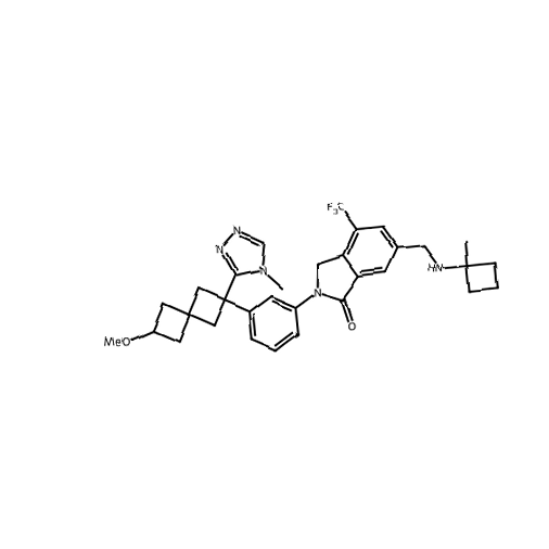 COC1CC2(C1)CC(c1cccc(N3Cc4c(cc(CNC5(C)CCC5)cc4C(F)(F)F)C3=O)c1)(c1nncn1C)C2